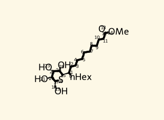 CCCCCCC(CCCCCCCCCCC(=O)OC)[C@H]1S[C@@H](CO)[C@@H](O)[C@H](O)[C@H]1O